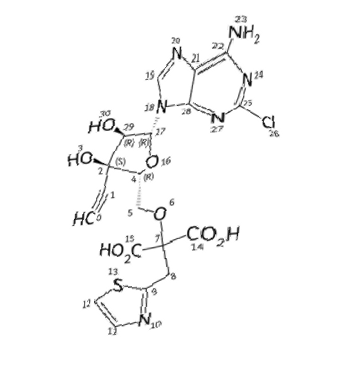 C#C[C@@]1(O)[C@@H](COC(Cc2nccs2)(C(=O)O)C(=O)O)O[C@@H](n2cnc3c(N)nc(Cl)nc32)[C@@H]1O